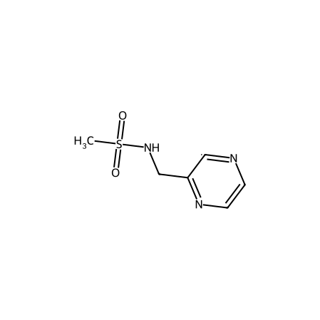 CS(=O)(=O)NCc1[c]nccn1